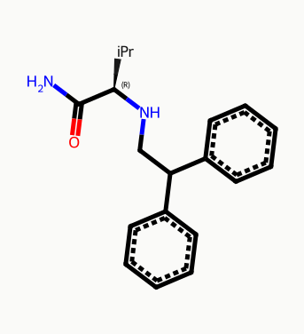 CC(C)[C@@H](NCC(c1ccccc1)c1ccccc1)C(N)=O